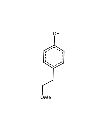 COC[CH]c1ccc(O)cc1